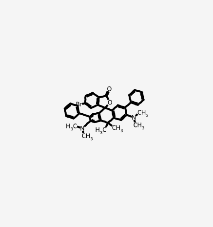 CN(C)c1cc2c(cc1-c1ccccc1)C1(OC(=O)c3ccc(Br)cc31)c1cc(-c3ccccc3)c(N(C)C)cc1C2(C)C